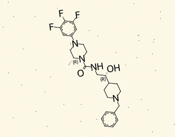 C[C@@H]1CN(c2cc(F)c(F)c(F)c2)CCN1C(=O)NC[C@H](O)C1CCN(Cc2ccccc2)CC1